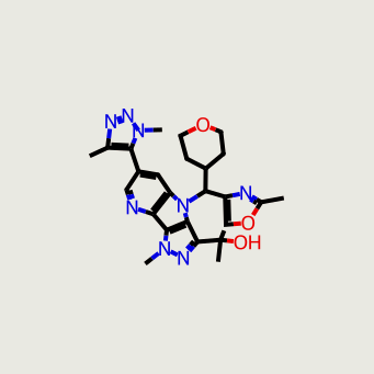 Cc1nc(C(C2CCOCC2)n2c3cc(-c4c(C)nnn4C)cnc3c3c2c(C(C)(C)O)nn3C)co1